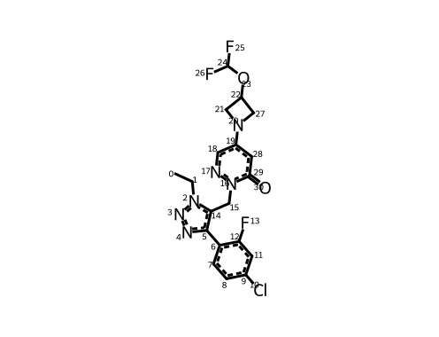 CCn1nnc(-c2ccc(Cl)cc2F)c1Cn1ncc(N2CC(OC(F)F)C2)cc1=O